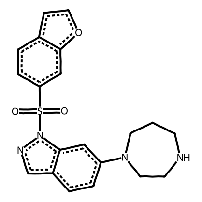 O=S(=O)(c1ccc2ccoc2c1)n1ncc2ccc(N3CCCNCC3)cc21